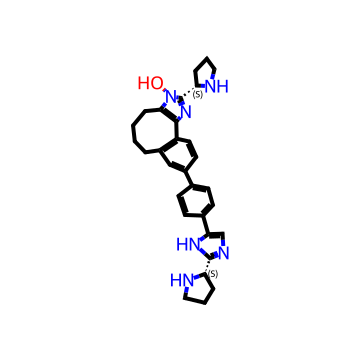 On1c([C@@H]2CCCN2)nc2c1CCCCc1cc(-c3ccc(-c4cnc([C@@H]5CCCN5)[nH]4)cc3)ccc1-2